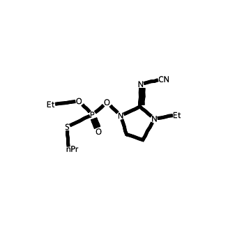 CCCSP(=O)(OCC)ON1CCN(CC)C1=NC#N